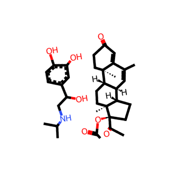 CC(=O)O[C@]1(C(C)=O)CC[C@H]2[C@@H]3C=C(C)C4=CC(=O)CC[C@]4(C)[C@H]3CC[C@@]21C.CC(C)NCC(O)c1ccc(O)c(O)c1